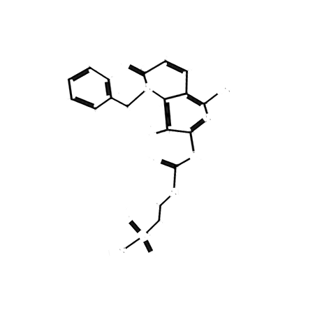 N#Cc1nc(OC(=O)NCCS(N)(=O)=O)c(O)c2c1ccc(=O)n2Cc1ccccc1